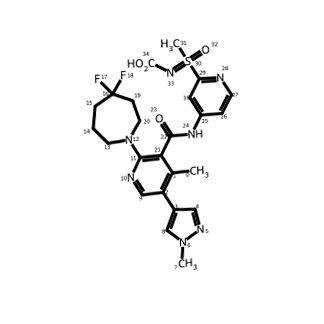 Cc1c(-c2cnn(C)c2)cnc(N2CCCC(F)(F)CC2)c1C(=O)Nc1ccnc(S(C)(=O)=NC(=O)O)c1